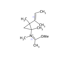 C/C=C(\C)C1(C)CC1(C)/[N+](C)=C(/C)OC